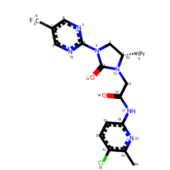 CCC[C@H]1CN(c2ncc(C(F)(F)F)cn2)C(=O)N1CC(=O)Nc1ccc(Cl)c(C)n1